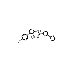 Cc1ccc(-c2csc(NC(=O)c3ccc(-c4cccs4)s3)c2C(=O)O)cc1